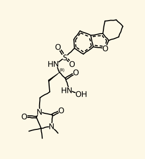 CN1C(=O)N(CCC[C@@H](NS(=O)(=O)c2ccc3c4c(oc3c2)CCCC4)C(=O)NO)C(=O)C1(C)C